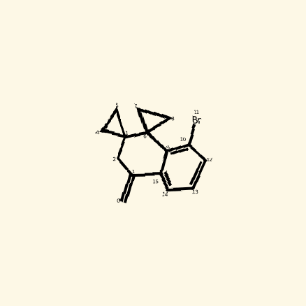 C=C1CC2(CC2)C2(CC2)c2c(Br)cccc21